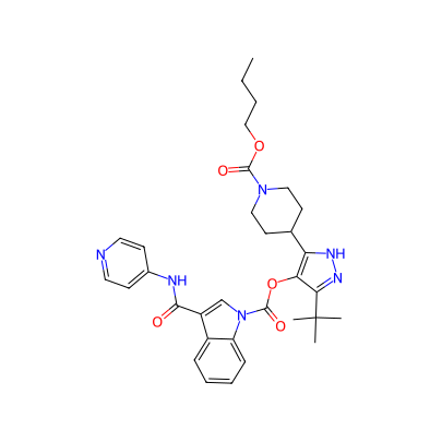 CCCCOC(=O)N1CCC(c2[nH]nc(C(C)(C)C)c2OC(=O)n2cc(C(=O)Nc3ccncc3)c3ccccc32)CC1